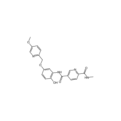 CNC(=O)c1ccc(C(=O)Nc2cc(OCc3ccc(OC)cn3)ccc2O)cn1